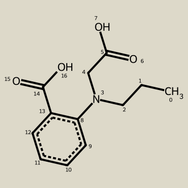 CCCN(CC(=O)O)c1ccccc1C(=O)O